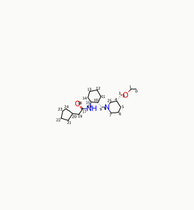 CCOC[C@@H]1CCCN(C[C@H]2CCCC[C@@H]2NC(=O)CC2CCCC2)C1